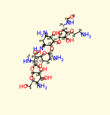 CN[C@@H]1[C@@H](O[C@H]2O[C@H](CO)[C@@H](N)[C@H](O)[C@H]2O)OC2C[C@@H](N)[C@@H](O[C@H]3[C@H](OC4O[C@H](CNC=O)[C@@H](OCCN)[C@H]4O)[C@@H](O)[C@H](N)C[C@@H]3N)OC2[C@@H]1O